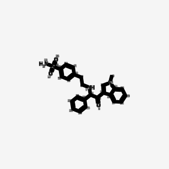 Cn1cc(C(=O)C(NCCc2ccc(S(N)(=O)=O)cc2)c2ccccc2)c2ccccc21